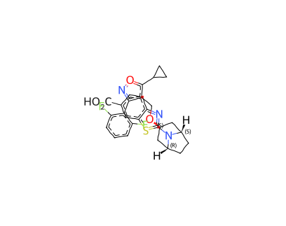 O=C(O)c1ccc2nc(N3[C@@H]4CC[C@H]3C[C@H](OCc3c(-c5c(F)cccc5F)noc3C3CC3)C4)sc2c1